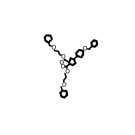 O=C(OCCCOCc1ccccc1)c1ccc(-c2ccc(OCc3ccccc3)cc2)cc1C(=O)OCCCOCc1ccccc1